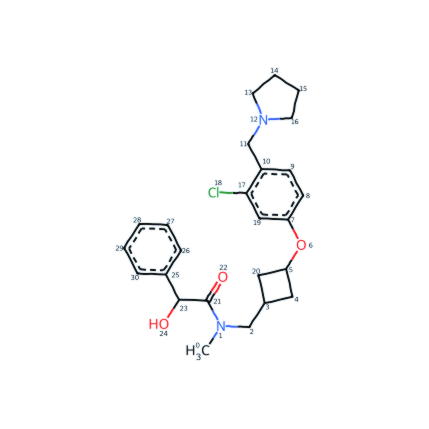 CN(CC1CC(Oc2ccc(CN3CCCC3)c(Cl)c2)C1)C(=O)C(O)c1ccccc1